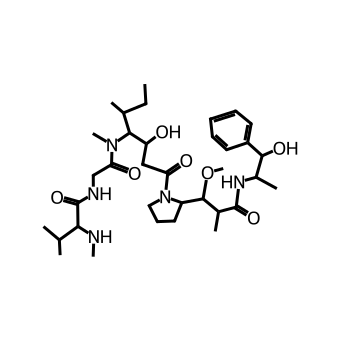 CCC(C)C(C(O)CC(=O)N1CCCC1C(OC)C(C)C(=O)NC(C)C(O)c1ccccc1)N(C)C(=O)CNC(=O)C(NC)C(C)C